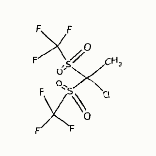 CC(Cl)(S(=O)(=O)C(F)(F)F)S(=O)(=O)C(F)(F)F